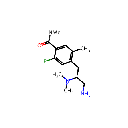 CNC(=O)c1cc(C)c(C[C@@H](CN)N(C)C)cc1F